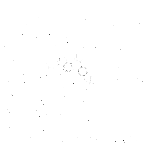 CC(O)c1ncnc(NC(C)c2ccc(OC(F)(F)F)cc2)c1Cl